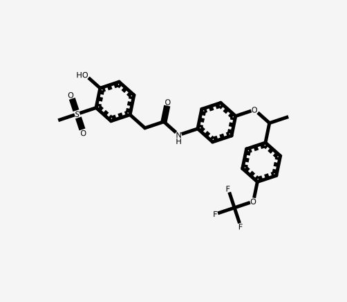 CC(Oc1ccc(NC(=O)Cc2ccc(O)c(S(C)(=O)=O)c2)cc1)c1ccc(OC(F)(F)F)cc1